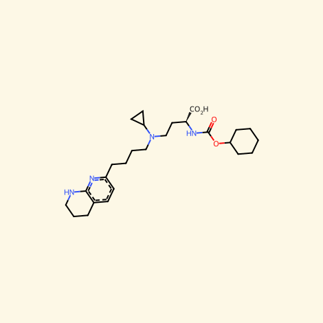 O=C(N[C@@H](CCN(CCCCc1ccc2c(n1)NCCC2)C1CC1)C(=O)O)OC1CCCCC1